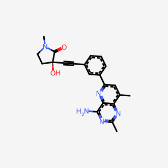 Cc1nc(N)c2nc(-c3cccc(C#C[C@]4(O)CCN(C)C4=O)c3)cc(C)c2n1